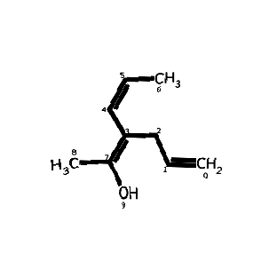 C=CCC(/C=C\C)=C(/C)O